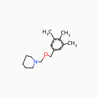 Cc1cc(COCN2CC[CH]CC2)cc(C)c1C